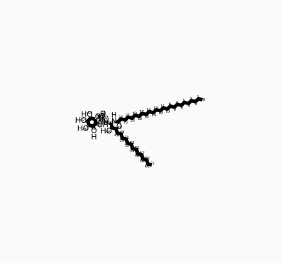 CCCCCCCCCCCCCCCCCCCCCCCCC(=O)N[C@@H](COP(=O)(O)OC1C(O)C(O)C(O)[C@@H](O)C1O)[C@H](O)CCCCCCCCCCCCCCC